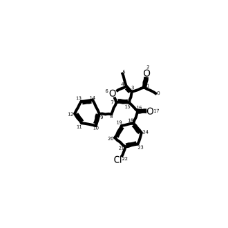 CC(=O)c1c(C)oc(Cc2ccccc2)c1C(=O)c1ccc(Cl)cc1